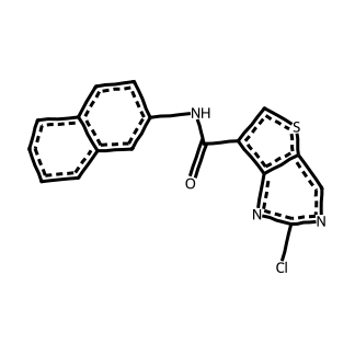 O=C(Nc1ccc2ccccc2c1)c1csc2cnc(Cl)nc12